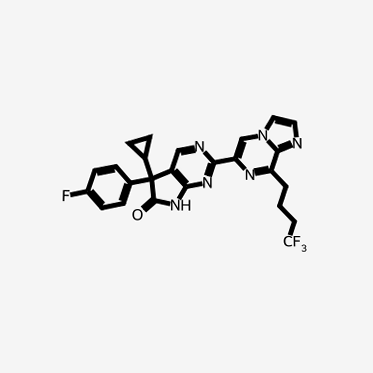 O=C1Nc2nc(-c3cn4ccnc4c(CCCC(F)(F)F)n3)ncc2C1(c1ccc(F)cc1)C1CC1